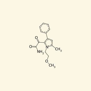 COCCn1c(C)cc(-c2ccccc2)c1C(=O)C(N)=O